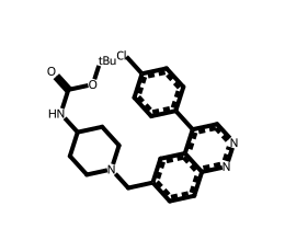 CC(C)(C)OC(=O)NC1CCN(Cc2ccc3nncc(-c4ccc(Cl)cc4)c3c2)CC1